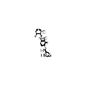 Fc1cccc(Cl)c1CNc1ccc(SNC2=CSCN2)c(F)c1Cl